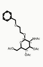 CC(=O)N[C@H]1C(OC(C)=O)[C@H](OC(C)=O)C(COC(C)=O)O[C@H]1OCCOCc1ccccc1